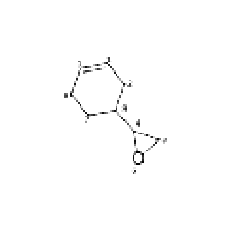 C1=CCC(C2CO2)CC1